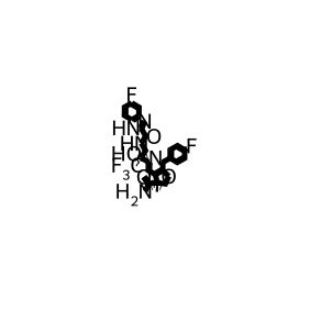 C[C@]1(C(N)=O)COc2c1cc([C@@](O)(CNC(=O)c1nc3cc(F)ccc3[nH]1)C(F)(F)F)nc2-c1ccc(F)cc1